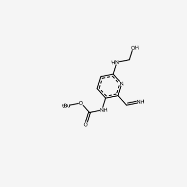 CC(C)(C)OC(=O)Nc1ccc(NCO)nc1C=N